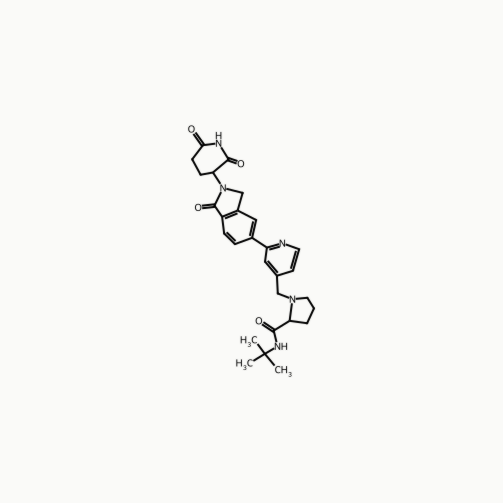 CC(C)(C)NC(=O)C1CCCN1Cc1ccnc(-c2ccc3c(c2)CN(C2CCC(=O)NC2=O)C3=O)c1